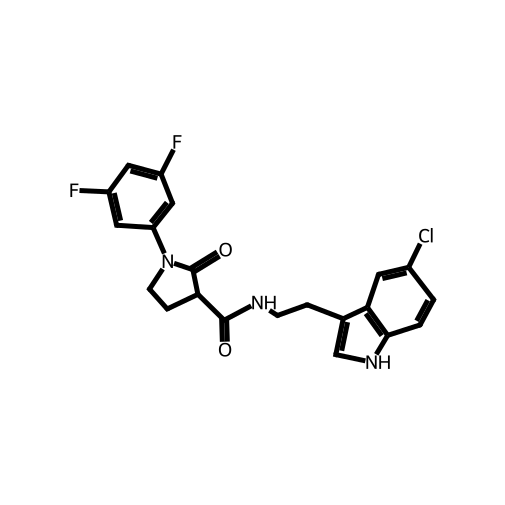 O=C(NCCc1c[nH]c2ccc(Cl)cc12)C1CCN(c2cc(F)cc(F)c2)C1=O